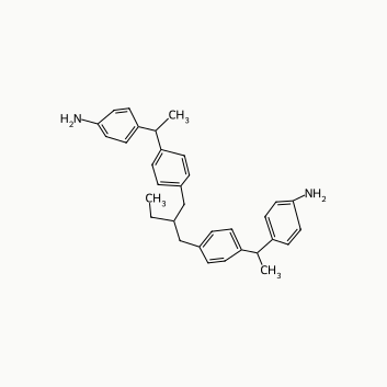 CCC(Cc1ccc(C(C)c2ccc(N)cc2)cc1)Cc1ccc(C(C)c2ccc(N)cc2)cc1